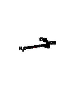 CCCCCCCCCCCCCCCCCCOc1cn(Cc2ccc(Cl)cc2)c(CO)cc1=O